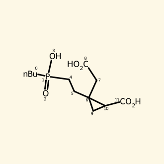 CCCCP(=O)(O)CCC1(CC(=O)O)CC1C(=O)O